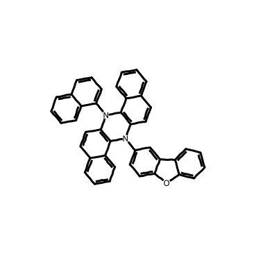 c1ccc2c(N3c4ccc5ccccc5c4N(c4ccc5oc6ccccc6c5c4)c4ccc5ccccc5c43)cccc2c1